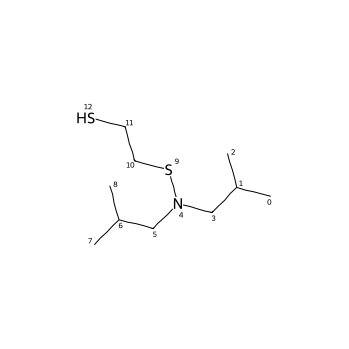 CC(C)CN(CC(C)C)SCCS